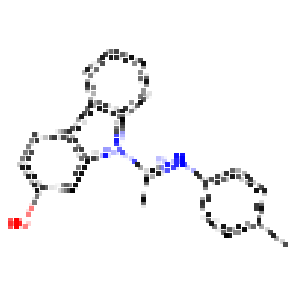 C/C(=N\c1ccc(C)cc1)n1c2ccccc2c2ccc(O)cc21